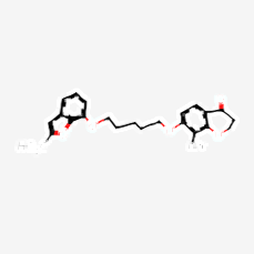 CCCc1c(OCCCCCOc2cccc3cc(C(=O)O)oc23)ccc2c1OCCC2=O